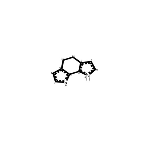 c1cc2c([nH]1)-c1sccc1CC2